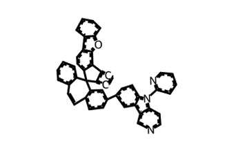 C1=Cc2ccc(-c3ccc4c(c3)c3cnccc3n4-c3ccccn3)cc2C2(c3ccccc31)c1ccccc1-c1c2ccc2c1oc1ccccc12